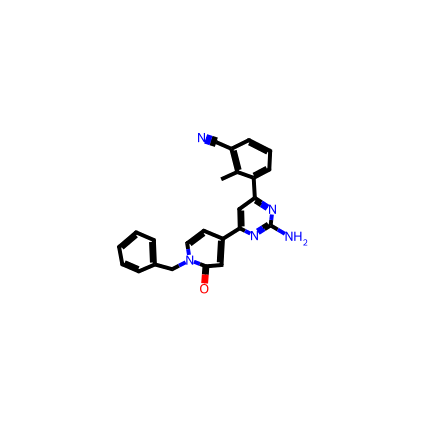 Cc1c(C#N)cccc1-c1cc(-c2ccn(Cc3ccccc3)c(=O)c2)nc(N)n1